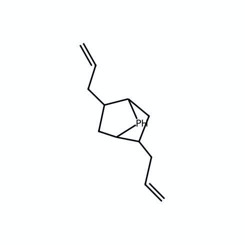 C=CCC1CC2PC1CC2CC=C